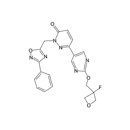 O=c1ccc(-c2cnc(OCC3(F)COC3)nc2)nn1Cc1nc(-c2ccccc2)no1